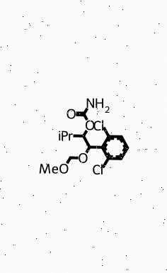 COCOC(c1c(Cl)cccc1Cl)C(OC(N)=O)C(C)C